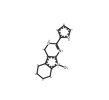 [O-][s+]1c2c(c3c1N=C(c1ccco1)OC3)CCCC2